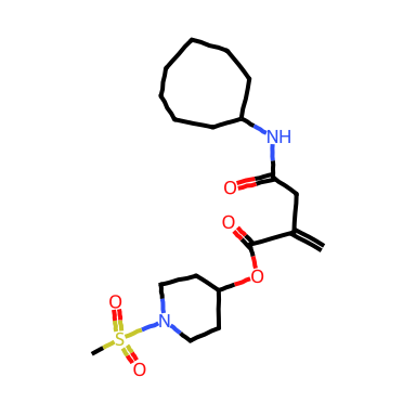 C=C(CC(=O)NC1CCCCCCC1)C(=O)OC1CCN(S(C)(=O)=O)CC1